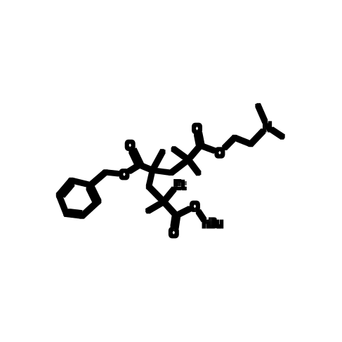 CCCCOC(=O)C(C)(CC)CC(C)(CC(C)(C)C(=O)OCCN(C)C)C(=O)OCc1ccccc1